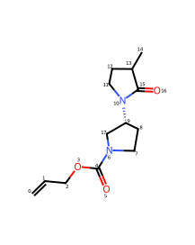 C=CCOC(=O)N1CC[C@@H](N2CCC(C)C2=O)C1